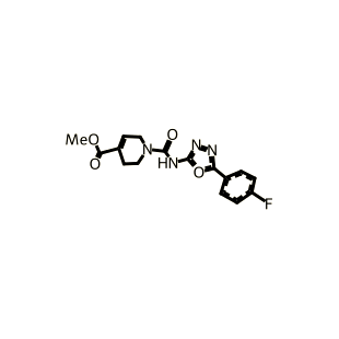 COC(=O)C1=CCN(C(=O)Nc2nnc(-c3ccc(F)cc3)o2)CC1